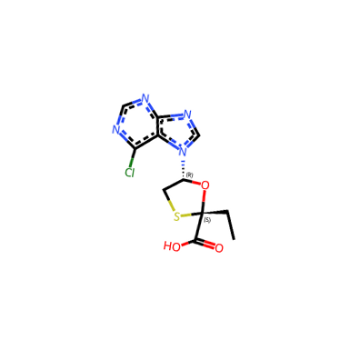 CC[C@]1(C(=O)O)O[C@@H](n2cnc3ncnc(Cl)c32)CS1